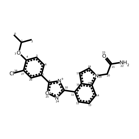 CC(C)Oc1ccc(-c2nc(-c3cccc4c3ccn4CC(N)=O)no2)cc1Cl